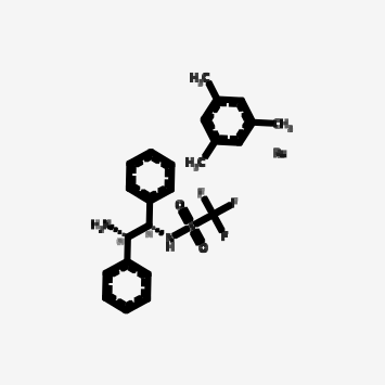 Cc1cc(C)cc(C)c1.N[C@@H](c1ccccc1)[C@@H](NS(=O)(=O)C(F)(F)F)c1ccccc1.[Ru]